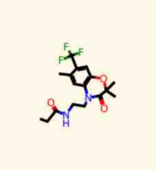 CCC(=O)NCCN1C(=O)C(C)(C)Oc2cc(C(F)(F)F)c(C)cc21